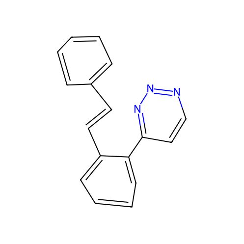 C(=Cc1ccccc1-c1ccnnn1)c1ccccc1